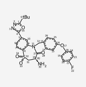 CC(C)(C)c1nnc(-c2ccc3c(c2)N(Cc2ccc(Oc4ccc(F)cc4)cc2)C(=O)[C@@H](N)CS3(=O)=O)o1